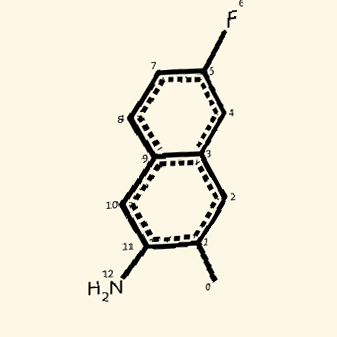 Cc1cc2cc(F)ccc2cc1N